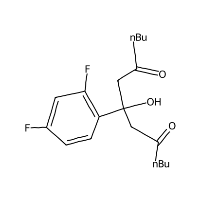 CCCCC(=O)CC(O)(CC(=O)CCCC)c1ccc(F)cc1F